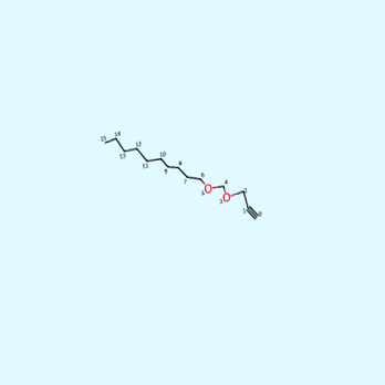 C#CCOCOCCCCCCCCCC